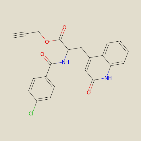 C#CCOC(=O)C(Cc1cc(=O)[nH]c2ccccc12)NC(=O)c1ccc(Cl)cc1